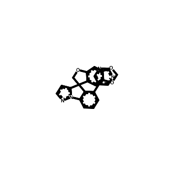 c1cc(-c2cncnc2)c2c(c1)-n1nccc1C21COc2cc3c(cc21)OCO3